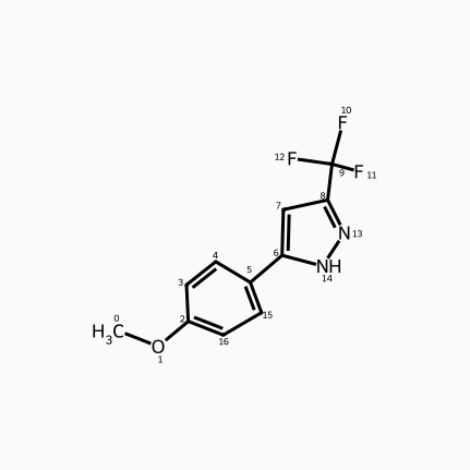 COc1ccc(-c2cc(C(F)(F)F)n[nH]2)cc1